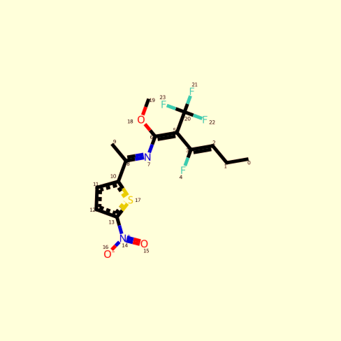 CC/C=C(F)/C(=C(\N=C(/C)c1ccc([N+](=O)[O-])s1)OC)C(F)(F)F